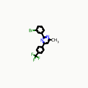 Cc1cc(-c2ccc(C(F)(F)F)cc2)nc(-c2cccc(Br)c2)n1